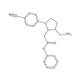 [CH2]CC1C[CH]C(c2ccc(C#N)cc2)C1CC(=O)Oc1ccccc1